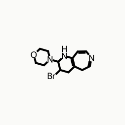 BrC1CC2=C(C=CN=CC2)NC1N1CCOCC1